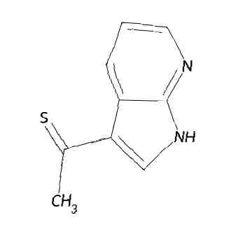 CC(=S)c1c[nH]c2ncccc12